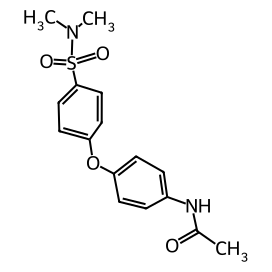 CC(=O)Nc1ccc(Oc2ccc(S(=O)(=O)N(C)C)cc2)cc1